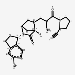 N#CC1CCCN1C(=O)C(N)CN1CC2C[C@H]1C(=O)N2[C@H]1CCc2cc(S)ccc21